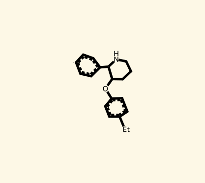 CCc1ccc(OC2CCCNC2c2cc[c]cc2)cc1